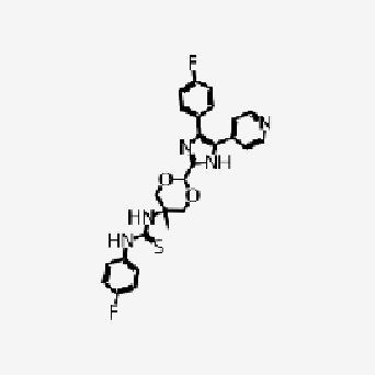 CC1(NC(=S)Nc2ccc(F)cc2)COC(c2nc(-c3ccc(F)cc3)c(-c3ccncc3)[nH]2)OC1